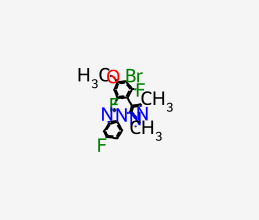 COc1cc(F)c(-c2c(C)nn(C)c2-n2cnc3cc(F)ccc32)c(F)c1Br